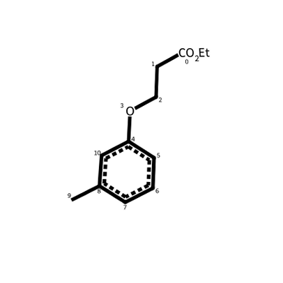 CCOC(=O)CCOc1cccc(C)c1